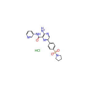 Cl.Nc1ncc(-c2ccc(S(=O)(=O)N3CCCC3)cc2)nc1C(=O)Nc1cccnc1